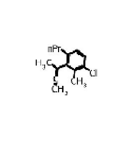 C=C=C(C)c1c(CCC)ccc(Cl)c1C